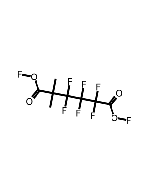 CC(C)(C(=O)OF)C(F)(F)C(F)(F)C(F)(F)C(=O)OF